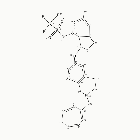 Cc1cc2c(c(OS(=O)(=O)C(F)(F)F)c1)C(Oc1ccc3c(c1)CCN(CC1=CC=CCC=N1)C3)CC2